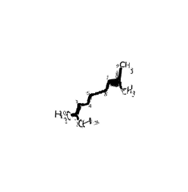 CC(C)=CCCCC=C(C)C